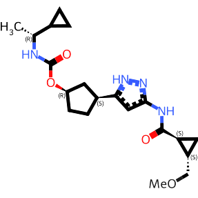 COC[C@H]1C[C@@H]1C(=O)Nc1cc([C@H]2CC[C@@H](OC(=O)N[C@H](C)C3CC3)C2)[nH]n1